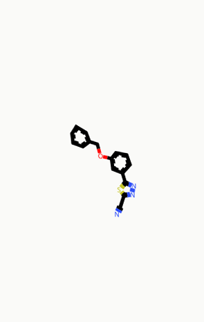 N#Cc1nnc(-c2cccc(OCc3ccccc3)c2)s1